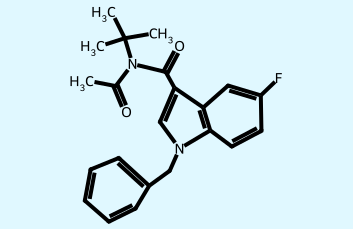 CC(=O)N(C(=O)c1cn(Cc2ccccc2)c2ccc(F)cc12)C(C)(C)C